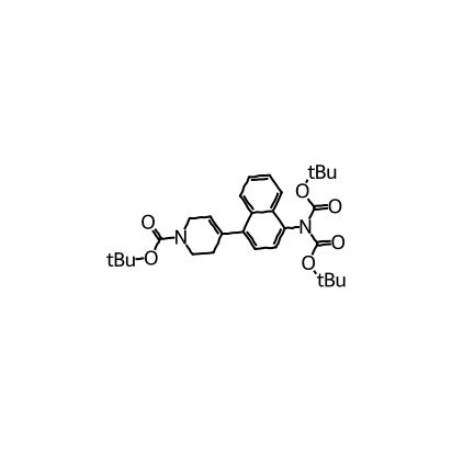 CC(C)(C)OC(=O)N1CC=C(c2ccc(N(C(=O)OC(C)(C)C)C(=O)OC(C)(C)C)c3ccccc23)CC1